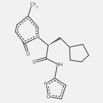 O=C(Nc1ccon1)[C@H](CC1CCCC1)n1cc(C(F)(F)F)ccc1=O